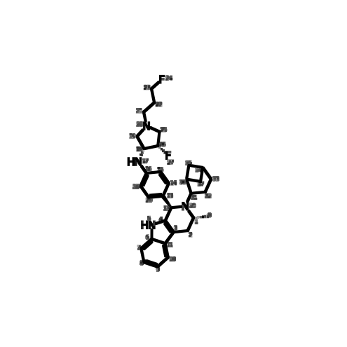 C[C@@H]1Cc2c([nH]c3ccccc23)[C@@H](c2ccc(N[C@@H]3CN(CCCF)C[C@@H]3F)cc2)N1C1CCC2CC1C2